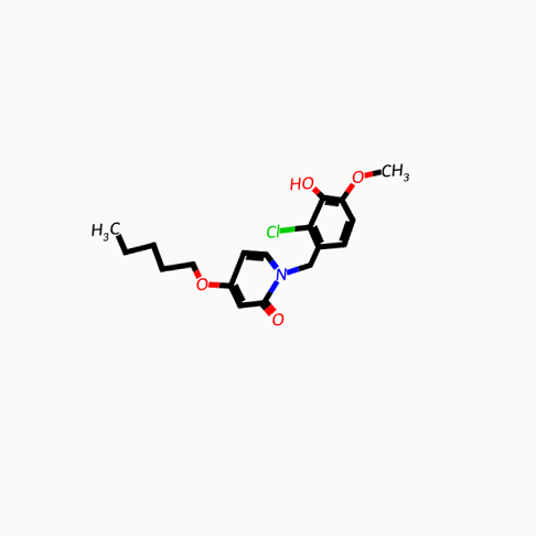 CCCCCOc1ccn(Cc2ccc(OC)c(O)c2Cl)c(=O)c1